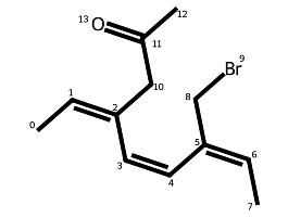 C\C=C(/C=C\C(=C/C)CBr)CC(C)=O